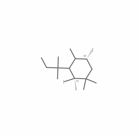 CCC(C)(C)C1C(C)[C@H](I)CC(C)(C)[C@@]1(C)I